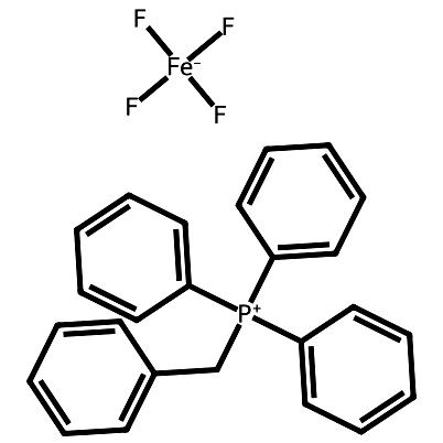 [F][Fe-]([F])([F])[F].c1ccc(C[P+](c2ccccc2)(c2ccccc2)c2ccccc2)cc1